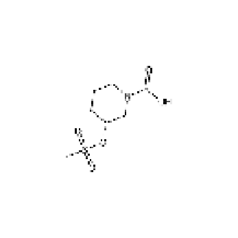 CS(=O)(=O)O[C@@H]1CCCN(C(=O)O)C1